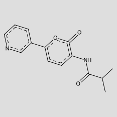 CC(C)C(=O)Nc1ccc(-c2cccnc2)oc1=O